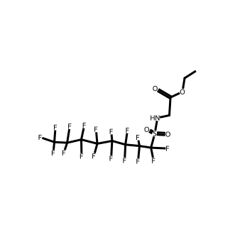 CCOC(=O)CNS(=O)(=O)C(F)(F)C(F)(F)C(F)(F)C(F)(F)C(F)(F)C(F)(F)C(F)(F)C(F)(F)F